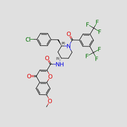 COc1ccc2c(=O)cc(C(=O)N[C@H]3CCN(C(=O)c4cc(C(F)(F)F)cc(C(F)(F)F)c4)[C@H](Cc4ccc(Cl)cc4)C3)oc2c1